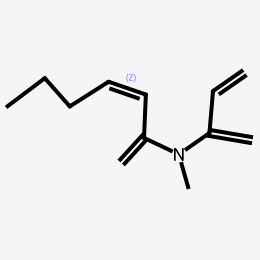 C=CC(=C)N(C)C(=C)/C=C\CCC